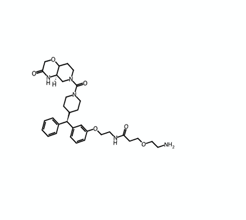 NCCOCCC(=O)NCCOc1cccc([C@@H](c2ccccc2)C2CCN(C(=O)N3CCC4OCC(=O)N[C@@H]4C3)CC2)c1